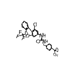 O=C(NCc1ccc(C(=O)O)cc1)Nc1cc(Cl)c(-c2ccccc2OC(F)(F)F)c(Cl)c1